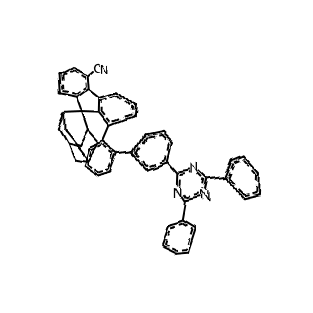 N#Cc1cccc2c1-c1cccc(-c3ccccc3-c3cccc(-c4nc(-c5ccccc5)nc(-c5ccccc5)n4)c3)c1C21C2CC3CC(C2)CC1C3